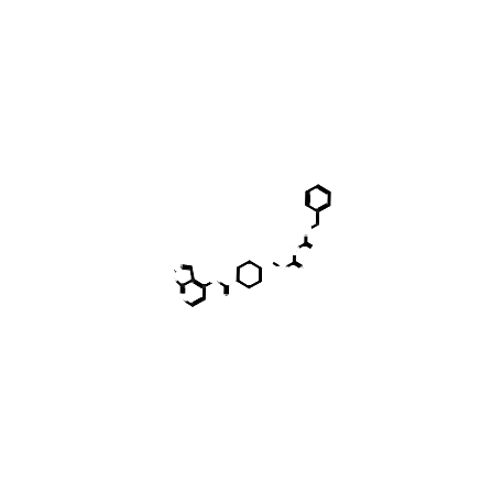 N=C(NC[C@H]1CC[C@H](C(=O)Nc2ccnc3[nH]ncc23)CC1)NC(=O)OCc1ccccc1